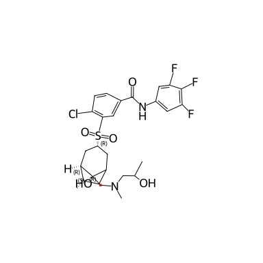 CC(O)CN(C)C[C@@]1(O)C2C[C@@H](S(=O)(=O)c3cc(C(=O)Nc4cc(F)c(F)c(F)c4)ccc3Cl)C[C@@H]1[C@@H](C)C2